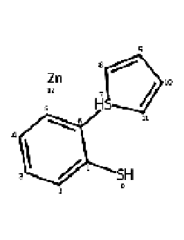 Sc1ccccc1[SH]1C=CC=C1.[Zn]